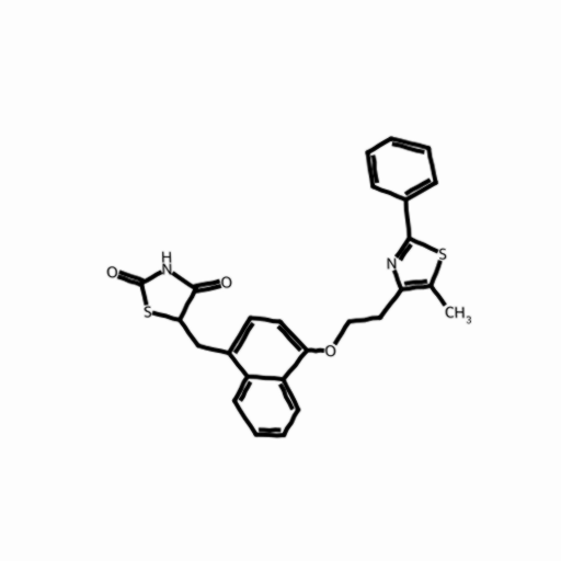 Cc1sc(-c2ccccc2)nc1CCOc1ccc(CC2SC(=O)NC2=O)c2ccccc12